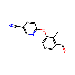 Cc1c(C=O)cccc1Oc1ccc(C#N)cn1